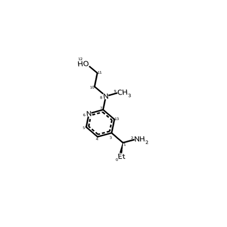 CC[C@H](N)c1ccnc(N(C)CCO)c1